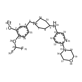 CCOc1cc(CN2CCC(Nc3ccc(N4CCOCC4)nc3)CC2)ccc1OC(F)F